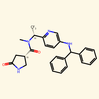 CN(C(=O)[C@@H]1CNC(=O)C1)[C@@H](c1ccc(NC(c2ccccc2)c2ccccc2)cn1)C(F)(F)F